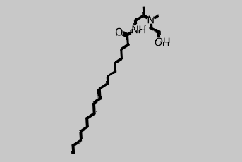 CCCCCCCCC=CCCCCCCCC(=O)NCC(C)N(C)CCO